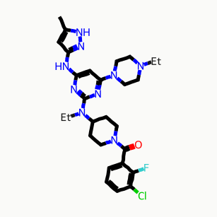 CCN1CCN(c2cc(Nc3cc(C)[nH]n3)nc(N(CC)C3CCN(C(=O)c4cccc(Cl)c4F)CC3)n2)CC1